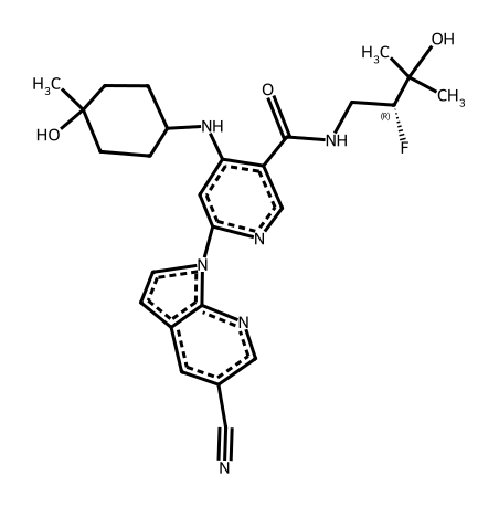 CC1(O)CCC(Nc2cc(-n3ccc4cc(C#N)cnc43)ncc2C(=O)NC[C@@H](F)C(C)(C)O)CC1